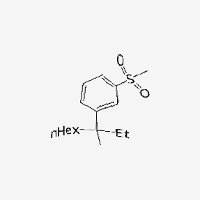 CCCCCCC(C)(CC)c1cccc(S(C)(=O)=O)c1